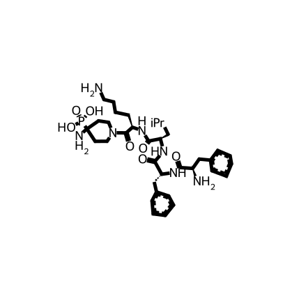 CC(C)C[C@@H](NC(=O)[C@@H](Cc1ccccc1)NC(=O)[C@H](N)Cc1ccccc1)C(=O)N[C@H](CCCCN)C(=O)N1CCC(N)(P(=O)(O)O)CC1